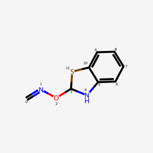 C=NOC1Nc2ccccc2S1